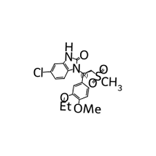 CCOc1cc([C@H](CS(C)(=O)=O)n2c(=O)[nH]c3cc(Cl)ccc32)ccc1OC